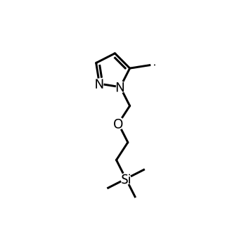 [CH2]c1ccnn1COCC[Si](C)(C)C